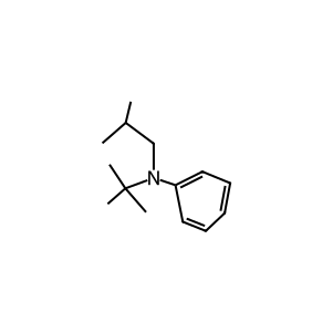 CC(C)CN(c1ccccc1)C(C)(C)C